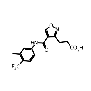 Cc1cc(NC(=O)c2conc2CCC(=O)O)ccc1C(F)(F)F